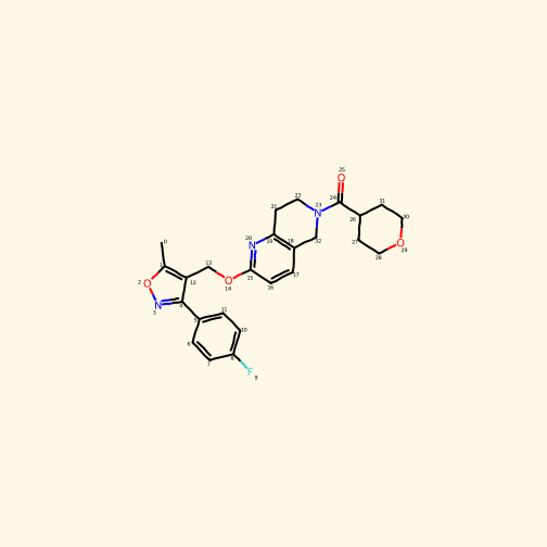 Cc1onc(-c2ccc(F)cc2)c1COc1ccc2c(n1)CCN(C(=O)C1CCOCC1)C2